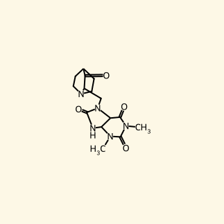 CN1C(=O)C2C(NC(=O)N2CC2C(=O)C3CCN2CC3)N(C)C1=O